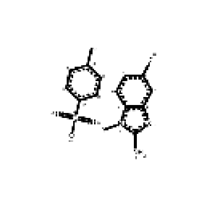 C[n+]1c(N)sc2cc(Cl)ccc21.Cc1ccc(S(=O)(=O)[O-])cc1